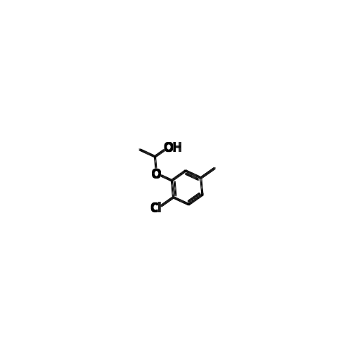 Cc1ccc(Cl)c(OC(C)O)c1